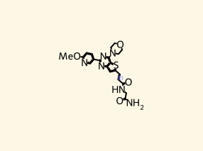 COc1ccc(-c2nc(N3CCOCC3)c3sc(/C=C/C(=O)NCC(N)=O)cc3n2)cn1